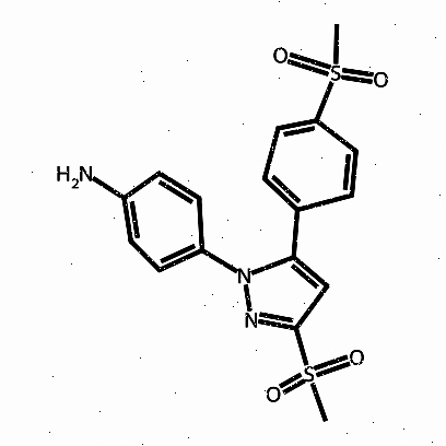 CS(=O)(=O)c1ccc(-c2cc(S(C)(=O)=O)nn2-c2ccc(N)cc2)cc1